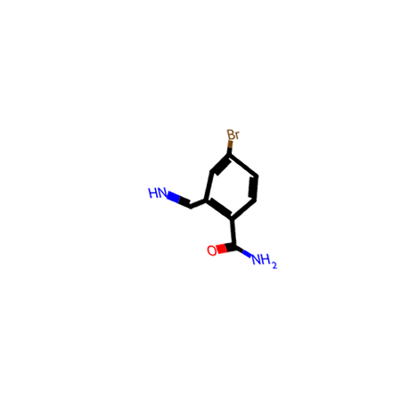 N=Cc1cc(Br)ccc1C(N)=O